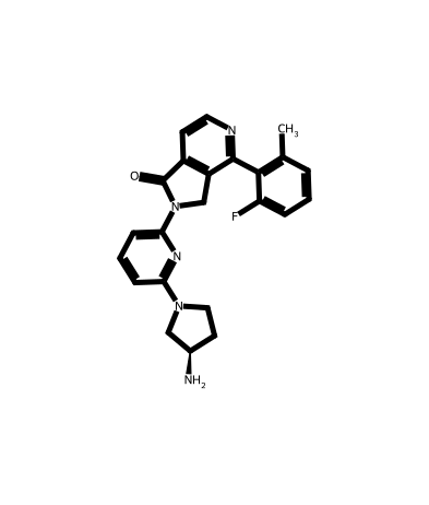 Cc1cccc(F)c1-c1nccc2c1CN(c1cccc(N3CC[C@@H](N)C3)n1)C2=O